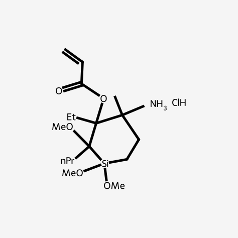 C=CC(=O)OC1(CC)C(C)(C)CC[Si](OC)(OC)C1(CCC)OC.Cl.N